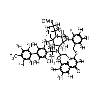 [2H]c1c([2H])c(F)c(F)c(CSc2c([2H])c(=O)c3c([2H])c([2H])c([2H])c([2H])c3n2CC(=O)N(C([2H])([2H])c2c([2H])c([2H])c(-c3c([2H])c([2H])c(C(F)(F)F)c([2H])c3[2H])c([2H])c2C)C2([2H])C([2H])([2H])C([2H])([2H])N(C([2H])([2H])C([2H])([2H])OC)C([2H])([2H])C2([2H])[2H])c1[2H]